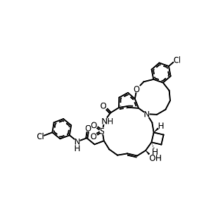 O=C(CC1CC/C=C/[C@H](O)[C@@H]2CC[C@H]2CN2CCCCc3cc(Cl)ccc3COc3ccc(cc32)C(=O)NS1(=O)=O)Nc1cccc(Cl)c1